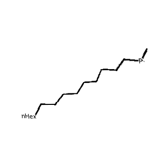 CCCCCCCCCCCCCCC[P]C